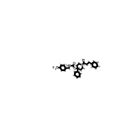 O=C(NCc1ccc(C(F)(F)F)cc1)OC1(c2ccccc2)CCN(C(=O)CCc2ccccc2)CC1